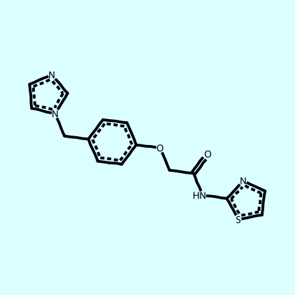 O=C(COc1ccc(Cn2ccnc2)cc1)Nc1nccs1